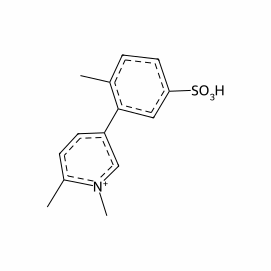 Cc1ccc(S(=O)(=O)O)cc1-c1ccc(C)[n+](C)c1